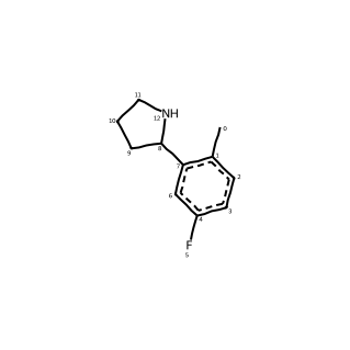 Cc1ccc(F)cc1C1CCCN1